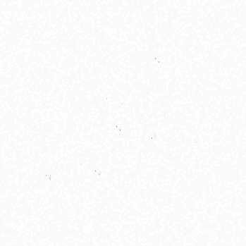 CC(OC(=O)NCCCCC(NC(CCc1ccccc1)C(=O)O)C(=O)N1CCCC1C(=O)OCCCO[N+](=O)[O-])O[N+](=O)[O-]